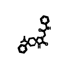 CN(C)[C@]1(c2ccccc2)CC[C@]2(CC1)CN(CC(=O)Nc1ccccc1)C(=O)N2